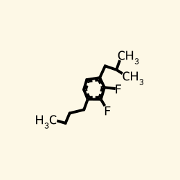 CCCCc1ccc(CC(C)C)c(F)c1F